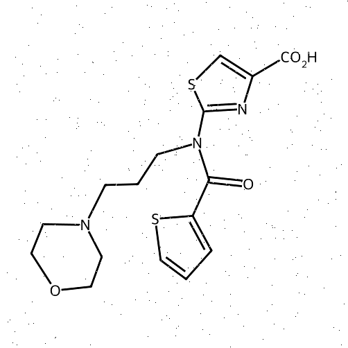 O=C(O)c1csc(N(CCCN2CCOCC2)C(=O)c2cccs2)n1